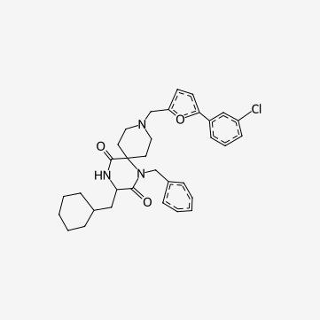 O=C1C(CC2CCCCC2)NC(=O)C2(CCN(Cc3ccc(-c4cccc(Cl)c4)o3)CC2)N1Cc1ccccc1